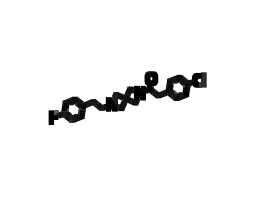 O=C(Cc1ccc(Cl)cc1)N1CC2(CN(CCc3ccc(F)cc3)C2)C1